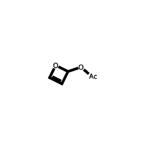 CC(=O)OC1C=CO1